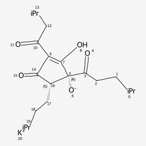 CC(C)CCC(=O)[C@]1([O-])C(O)=C(C(=O)CC(C)C)C(=O)[C@H]1CCC(C)C.[K+]